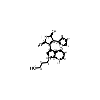 O=C1NC(=O)C(c2cn(CCCO)c3ncccc23)=C1c1ccco1